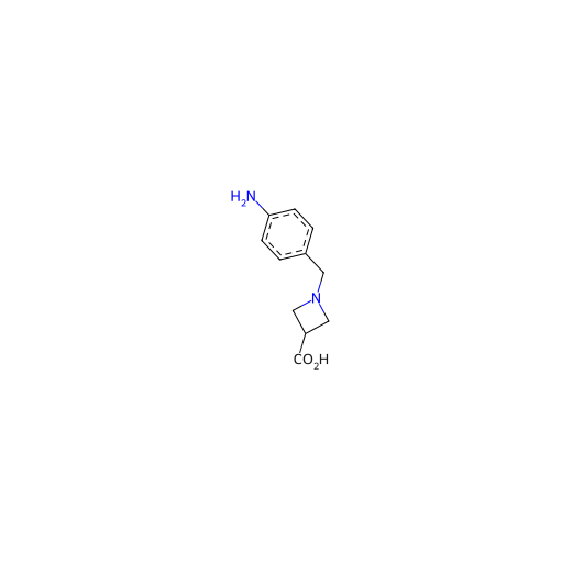 Nc1ccc(CN2CC(C(=O)O)C2)cc1